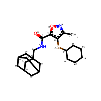 Cc1noc(C(=O)NCC23CC4CC(CC(C4)C2)C3)c1SC1CCCCC1